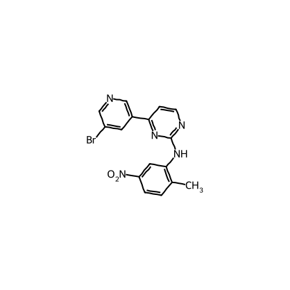 Cc1ccc([N+](=O)[O-])cc1Nc1nccc(-c2cncc(Br)c2)n1